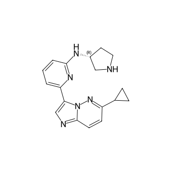 c1cc(N[C@@H]2CCNC2)nc(-c2cnc3ccc(C4CC4)nn23)c1